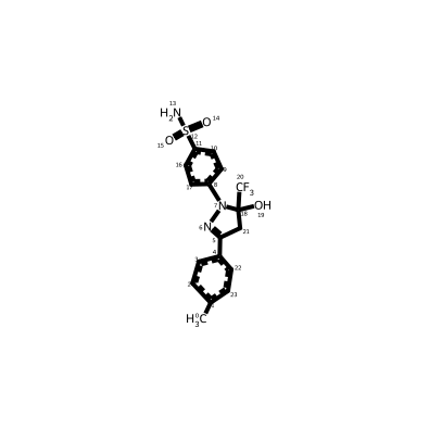 Cc1ccc(C2=NN(c3ccc(S(N)(=O)=O)cc3)C(O)(C(F)(F)F)C2)cc1